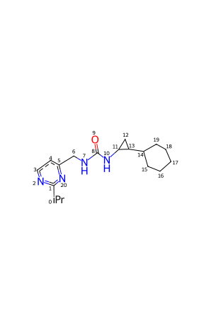 CC(C)c1nccc(CNC(=O)NC2CC2C2CCCCC2)n1